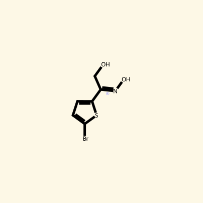 OC/C(=N\O)c1ccc(Br)s1